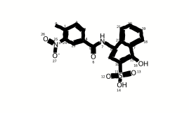 Cc1ccc(C(=O)Nc2cc(S(=O)(=O)O)c(O)c3ccccc23)cc1[N+](=O)[O-]